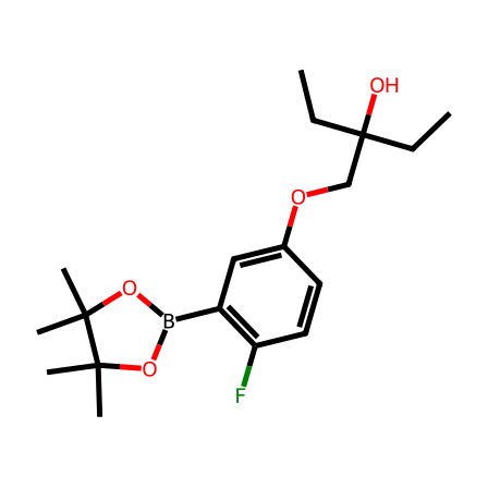 CCC(O)(CC)COc1ccc(F)c(B2OC(C)(C)C(C)(C)O2)c1